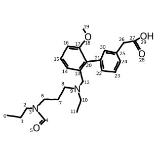 CCCN(C=O)CCCN(CC)Cc1cccc(OC)c1-c1cccc(CC(=O)O)c1